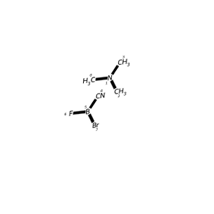 CN(C)C.N#CB(F)Br